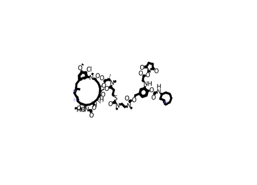 COc1cc2cc(c1Cl)N(C)C(=O)C[C@H](OC(=O)[C@H](C)N(C)C(=O)CCSC(=O)N(C)CCN(C)C(=O)OCc1ccc(OC(=O)NC3C/C=C/CCCC3)c(NCC(=O)ON3C(=O)CCC3=O)c1)[C@]1(C)O[C@H]1[C@H](C)[C@@H]1C[C@@](O)(NC(=O)O1)[C@H](OC)/C=C/C=C(\C)C2